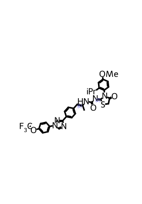 COc1ccc(N2C(=O)CS/C2=N\C(=O)N/C(C)=C/c2ccc(-c3ncn(-c4ccc(OC(F)(F)F)cc4)n3)cc2)c(C(C)C)c1